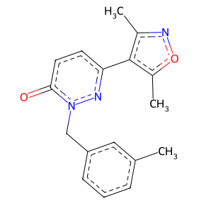 Cc1cccc(Cn2nc(-c3c(C)noc3C)ccc2=O)c1